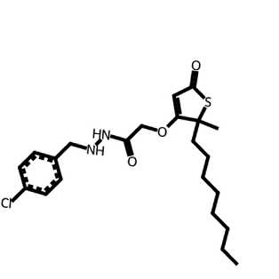 CCCCCCCCC1(C)SC(=O)C=C1OCC(=O)NNCc1ccc(Cl)cc1